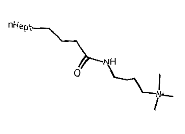 CCCCCCCCCCC(=O)NCCC[N+](C)(C)C